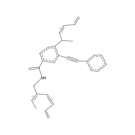 C=C/C=C\C(=C/C)CNC(=C)c1ccc(C(C)/C=C\C=C)c(C#Cc2ccccc2)c1